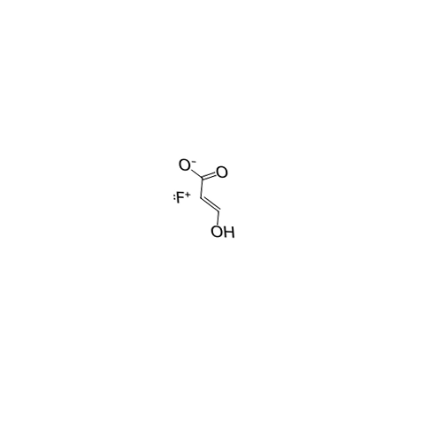 O=C([O-])C=CO.[F+]